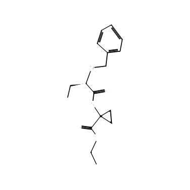 CCOC(=O)C1(NC(=O)[C@@H](CC)NCc2ccccc2)CC1